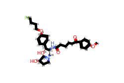 COc1ccc(C(=O)CCCCC(=O)N[C@H](CN2CC[C@H](O)C2)[C@H](O)c2ccc(OCCCCF)cc2)cc1